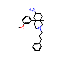 COc1cccc(C23CCN(CCCc4ccccc4)CC2(C)CCC(N)C3)c1